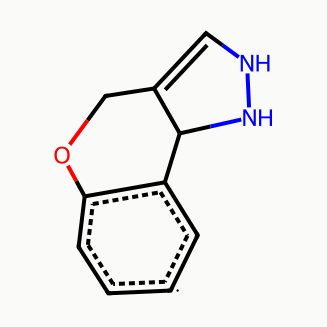 [c]1ccc2c(c1)C1NNC=C1CO2